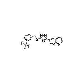 FC(F)(F)c1cccc(CSc2nnc(-c3ccc4ncccc4c3)o2)c1